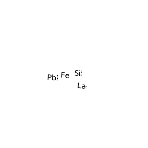 [Fe].[La].[Pb].[Si]